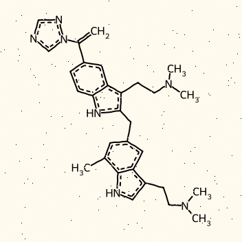 C=C(c1ccc2[nH]c(Cc3cc(C)c4[nH]cc(CCN(C)C)c4c3)c(CCN(C)C)c2c1)n1cncn1